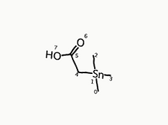 [CH3][Sn]([CH3])([CH3])[CH2]C(=O)O